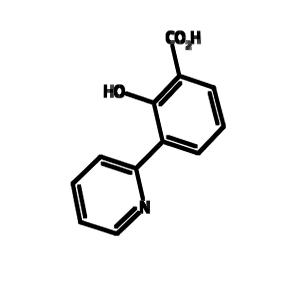 O=C(O)c1cccc(-c2ccccn2)c1O